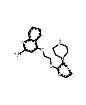 Nc1cc(OCCOc2nccnc2N2CCNCC2)c2ccccc2n1